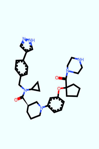 O=C([C@@H]1CCCN(c2cccc(OC3(C(=O)N4CCNCC4)CCCC3)c2)C1)N(Cc1ccc(-c2cn[nH]c2)cc1)C1CC1